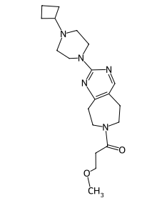 COCCC(=O)N1CCc2cnc(N3CCN(C4CCC4)CC3)nc2CC1